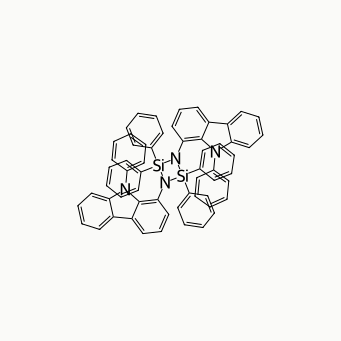 c1ccc(-n2c3ccccc3c3cccc(N4[Si](c5ccccc5)(c5ccccc5)N(c5cccc6c7ccccc7n(-c7ccccc7)c56)[Si]4(c4ccccc4)c4ccccc4)c32)cc1